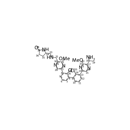 COc1nc(-c2cccc(-c3cccc(-c4cnc(C(C)N)c(OC)n4)c3Cl)c2Cl)cnc1CNCC1CCC(=O)N1